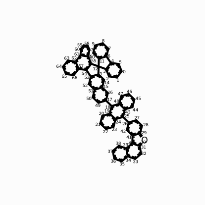 c1ccc2c(c1)-c1ccccc1C21c2cc3cc(-c4c5ccccc5c(-c5ccc6oc7ccc8ccccc8c7c6c5)c5ccccc45)ccc3cc2-c2c1c1ccccc1c1ccccc21